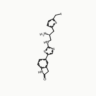 N[C@H](CNc1ncc(-c2ccc3c(c2)CC(=O)N3)s1)Cc1ccc(CI)s1